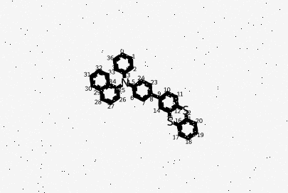 c1ccc(N(c2ccc(-c3ccc4c(c3)Sc3ccccc3S4)cc2)c2cccc3ccccc23)cc1